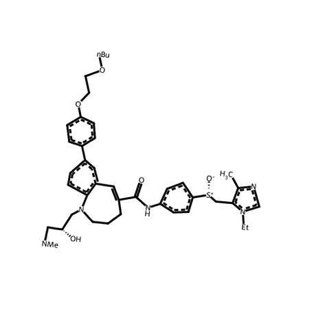 CCCCOCCOc1ccc(-c2ccc3c(c2)/C=C(/C(=O)Nc2ccc([S@+]([O-])Cc4c(C)ncn4CC)cc2)CCCN3C[C@H](O)CNC)cc1